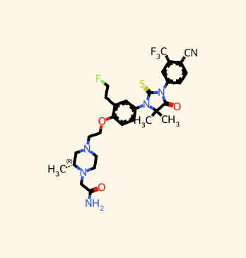 C[C@@H]1CN(CCOc2ccc(N3C(=S)N(c4ccc(C#N)c(C(F)(F)F)c4)C(=O)C3(C)C)cc2CCF)CCN1CC(N)=O